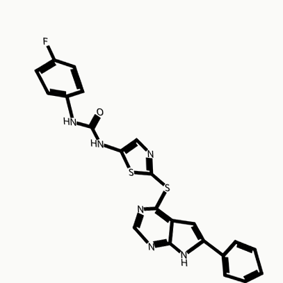 O=C(Nc1ccc(F)cc1)Nc1cnc(Sc2ncnc3[nH]c(-c4ccccc4)cc23)s1